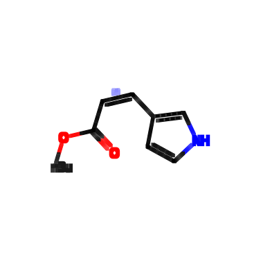 CCCCOC(=O)/C=C\c1cc[nH]c1